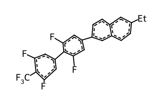 CCc1ccc2cc(-c3cc(F)c(-c4cc(F)c(C(F)(F)F)c(F)c4)c(F)c3)ccc2c1